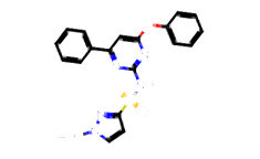 Cn1ccc(S(=O)(=O)Nc2nc(Oc3ccccc3)cc(-c3ccccc3)n2)n1